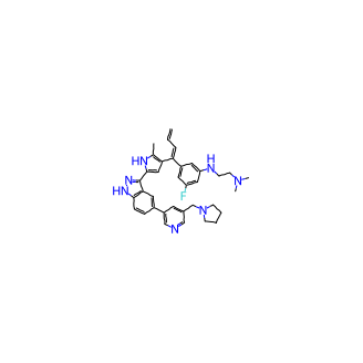 C=C/C=C(/c1cc(F)cc(NCCN(C)C)c1)c1cc(-c2n[nH]c3ccc(-c4cncc(CN5CCCC5)c4)cc23)[nH]c1C